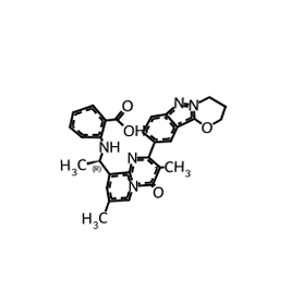 Cc1cc([C@@H](C)Nc2ccccc2C(=O)O)c2nc(-c3ccc4nn5c(c4c3)OCCC5)c(C)c(=O)n2c1